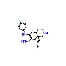 CC/C=C/C12CNCCC1=CC(Nc1ccc(F)cc1)=C(C=N)C2